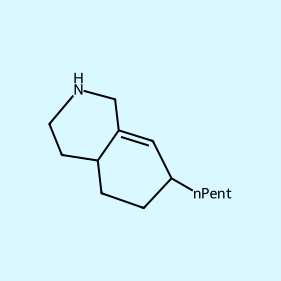 CCCCCC1C=C2CNCCC2CC1